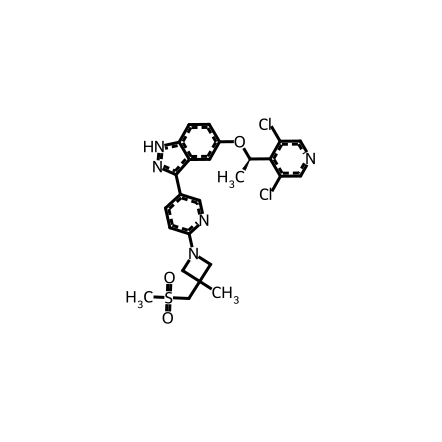 C[C@@H](Oc1ccc2[nH]nc(-c3ccc(N4CC(C)(CS(C)(=O)=O)C4)nc3)c2c1)c1c(Cl)cncc1Cl